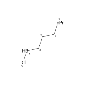 CCCCCCBCl